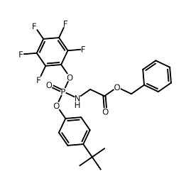 CC(C)(C)c1ccc(OP(=O)(NCC(=O)OCc2ccccc2)Oc2c(F)c(F)c(F)c(F)c2F)cc1